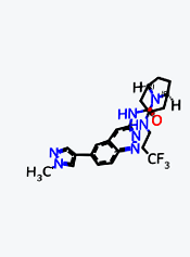 Cn1cc(-c2ccc3nnc(NC(=O)N4[C@@H]5CC[C@H]4C[C@@H](NCCC(F)(F)F)C5)cc3c2)cn1